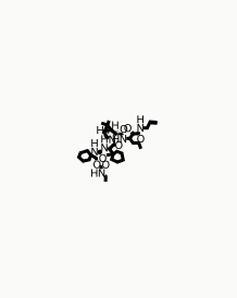 C=CCNC(=O)C(=O)C(CCC)NC(=O)[C@@H]1[C@@H]2[C@H](CN1C(=O)[C@@H](NC(=O)NC1(COC(=O)NCC)CCCCC1)C1(C)CCCCC1)C2(C)C